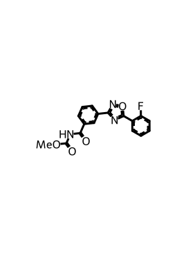 COC(=O)NC(=O)c1cccc(-c2noc(-c3ccccc3F)n2)c1